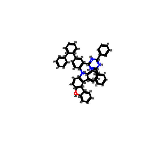 c1ccc(-c2nc(-c3ccccc3)nc(-c3cc(-c4ccccc4-c4ccccc4)ccc3-n3c4ccccc4c4c5c(ccc43)oc3ccccc35)n2)cc1